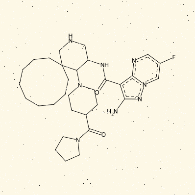 Nc1nn2cc(F)cnc2c1C(=O)NC1CNCC2(CCCCCCCCC2)C1N1CCC(C(=O)N2CCCC2)CC1